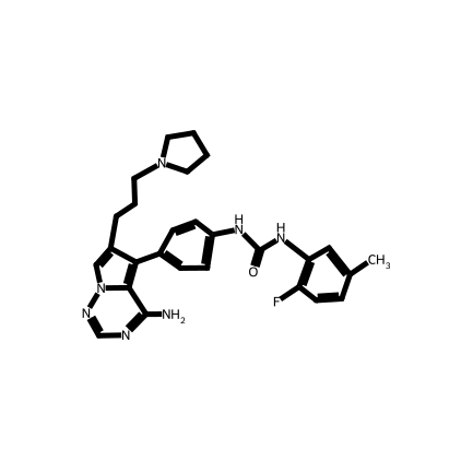 Cc1ccc(F)c(NC(=O)Nc2ccc(-c3c(CCCN4CCCC4)cn4ncnc(N)c34)cc2)c1